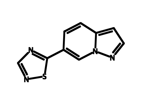 c1nsc(-c2ccc3ccnn3c2)n1